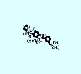 C[C@@H](Nc1cc(F)c(S(=O)(=O)Nc2cscn2)cc1Cl)c1cccc(CN(C)C)c1.O=CO